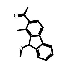 COC1c2ccccc2-c2ccc(C(C)=O)c(C)c21